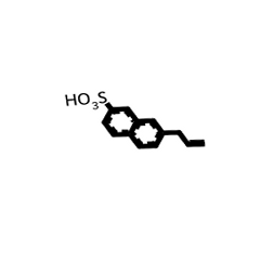 C=CCc1ccc2ccc(S(=O)(=O)O)cc2c1